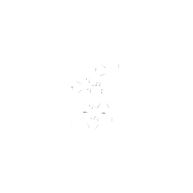 Cc1ccc(CC(CNC(=O)c2ncccc2C)n2c(=NC(=O)O)n(Cc3ccc(C)cc3)c3ccccc32)cc1